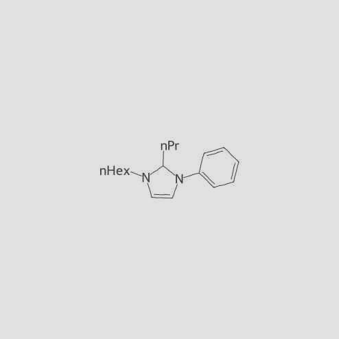 CCCCCCN1C=CN(c2ccccc2)C1CCC